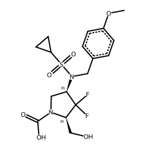 COc1ccc(CN([C@@H]2CN(C(=O)O)[C@H](CO)C2(F)F)S(=O)(=O)C2CC2)cc1